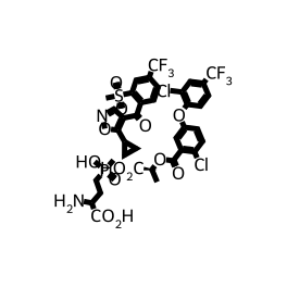 CP(=O)(O)CCC(N)C(=O)O.CS(=O)(=O)c1cc(C(F)(F)F)ccc1C(=O)c1cnoc1C1CC1.C[C@H](OC(=O)c1cc(Oc2ccc(C(F)(F)F)cc2Cl)ccc1Cl)C(=O)O